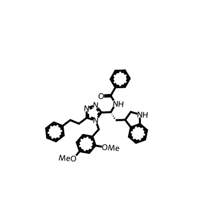 COc1ccc(Cn2c(CCc3ccccc3)nnc2[C@@H](CC2CNc3ccccc32)NC(=O)c2ccccc2)c(OC)c1